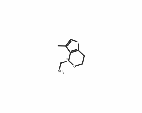 Cc1csc2c1[C@H](CN)OCC2